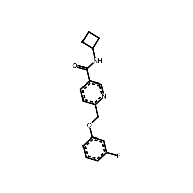 O=C(NC1CCC1)c1ccc(COc2cccc(F)c2)nc1